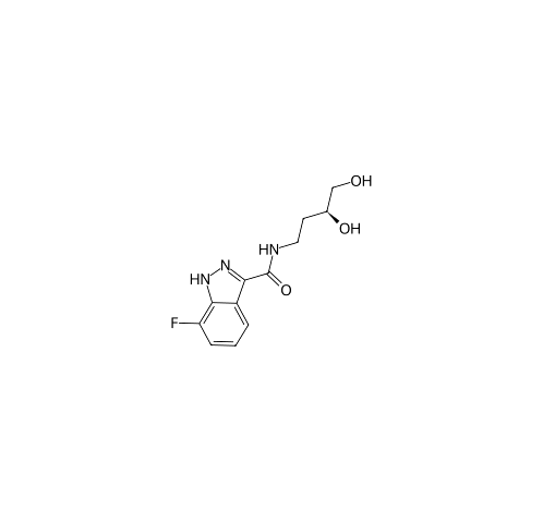 O=C(NCC[C@H](O)CO)c1n[nH]c2c(F)cccc12